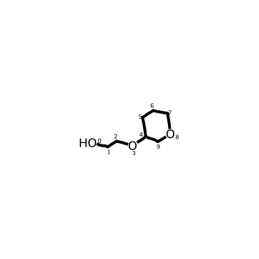 OCCOC1CCCOC1